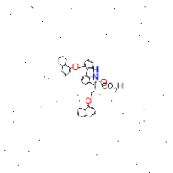 O=C(O)Oc1[nH]c2c(-c3ccccc3COc3cccc4c3CCCC4)cccc2c1CCCOc1cccc2ccccc12